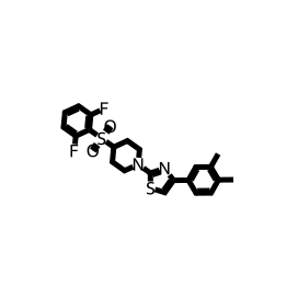 Cc1ccc(-c2csc(N3CCC(S(=O)(=O)c4c(F)cccc4F)CC3)n2)cc1C